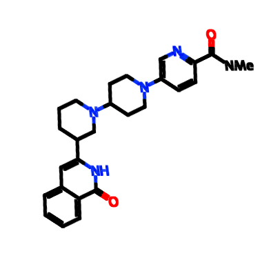 CNC(=O)c1ccc(N2CCC(N3CCCC(c4cc5ccccc5c(=O)[nH]4)C3)CC2)cn1